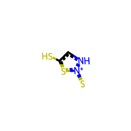 S=[n+]1[nH]cc(S)s1